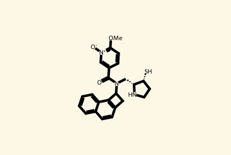 COc1ccc(C(=O)N(C[C@H]2NCC[C@H]2S)C2Cc3ccc4ccccc4c32)c[n+]1[O-]